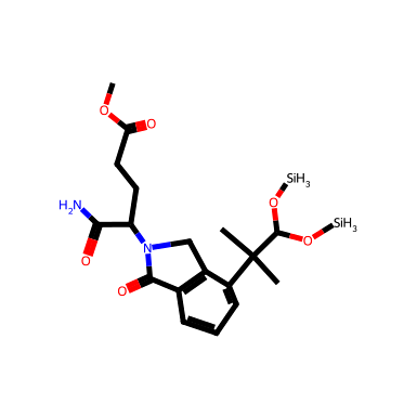 COC(=O)CCC(C(N)=O)N1Cc2c(cccc2C(C)(C)C(O[SiH3])O[SiH3])C1=O